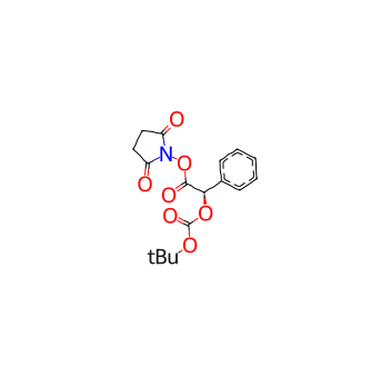 CC(C)(C)OC(=O)O[C@@H](C(=O)ON1C(=O)CCC1=O)c1ccccc1